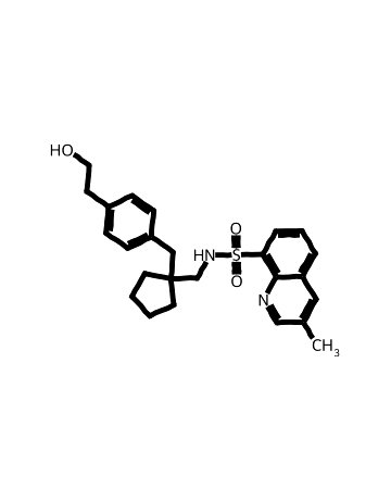 Cc1cnc2c(S(=O)(=O)NCC3(Cc4ccc(CCO)cc4)CCCC3)cccc2c1